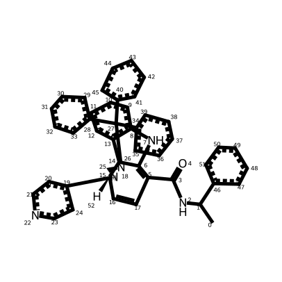 CC(NC(=O)C1=C2Nc3ccccc3C23[C@@H](C=C1)N(c1ccncc1)CN3C(c1ccccc1)(c1ccccc1)c1ccccc1)c1ccccc1